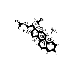 CCC(=O)OCC(=O)[C@@]1(OC(=O)CC)[C@H](C)C[C@H]2[C@@H]3CCC4=CC(=O)C=C[C@]4(C)C3(Cl)[C@@H](O[N+](=O)[O-])C[C@@]21C